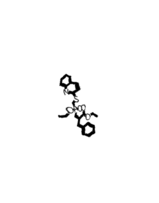 CCOC(=O)C(Cc1ccccc1)CP(=O)(CSc1ccc2ccccc2n1)OCC